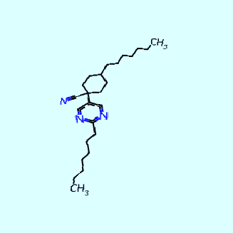 CCCCCCCc1ncc(C2(C#N)CCC(CCCCCCC)CC2)cn1